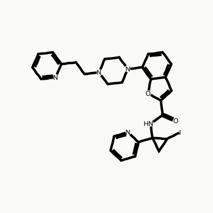 O=C(NC1(c2ccccn2)CC1I)c1cc2cccc(N3CCN(CCc4ccccn4)CC3)c2o1